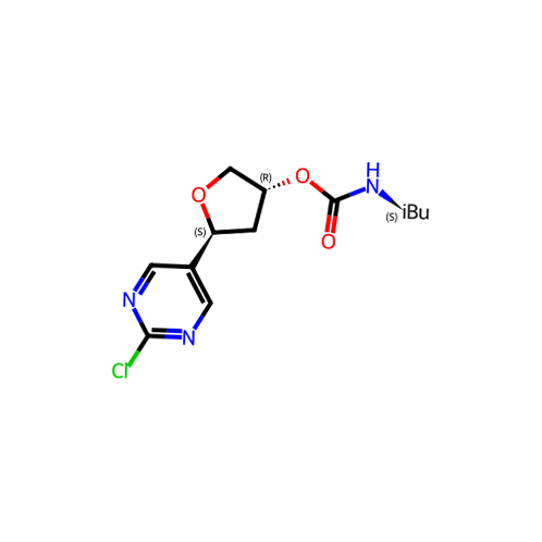 CC[C@H](C)NC(=O)O[C@H]1CO[C@H](c2cnc(Cl)nc2)C1